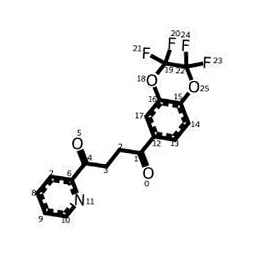 O=C(CCC(=O)c1ccccn1)c1ccc2c(c1)OC(F)(F)C(F)(F)O2